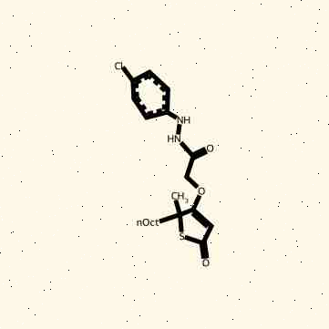 CCCCCCCCC1(C)SC(=O)C=C1OCC(=O)NNc1ccc(Cl)cc1